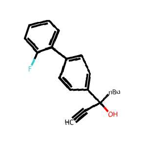 C#CC(O)(CCCC)c1ccc(-c2ccccc2F)cc1